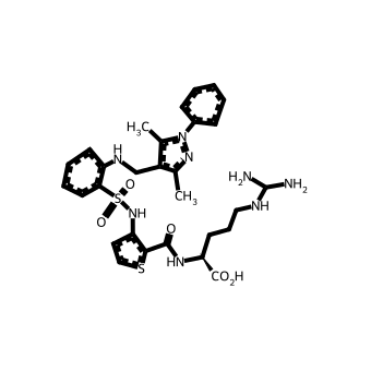 Cc1nn(-c2ccccc2)c(C)c1CNc1ccccc1S(=O)(=O)Nc1ccsc1C(=O)N[C@@H](CCCNC(N)N)C(=O)O